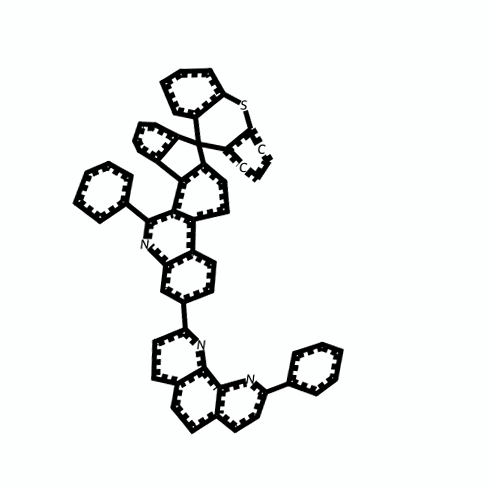 c1ccc(-c2ccc3ccc4ccc(-c5ccc6c(c5)nc(-c5ccccc5)c5c7c(ccc56)C5(c6ccccc6Sc6ccccc65)c5ccccc5-7)nc4c3n2)cc1